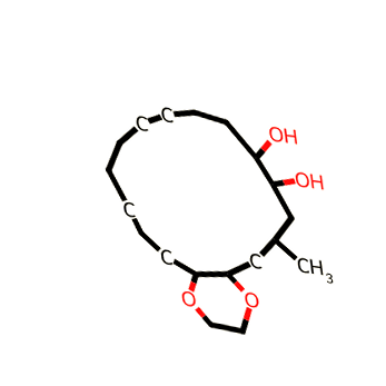 CC1CC(O)C(O)CCCCCCCCCC2OCCOC2C1